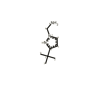 CC(C)(C)c1ccn(CN)n1